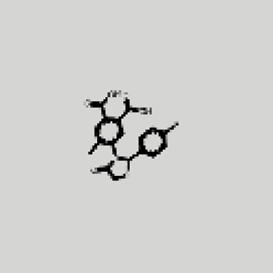 Cc1cc(C(=O)O)c(C(=O)O)cc1N1C(=O)CSC1c1ccc(F)cc1